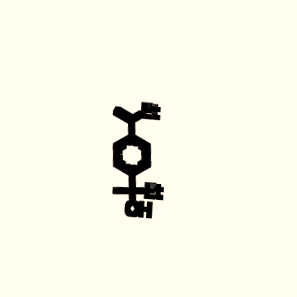 C=C(CC)c1ccc(C(C)(O)CC)cc1